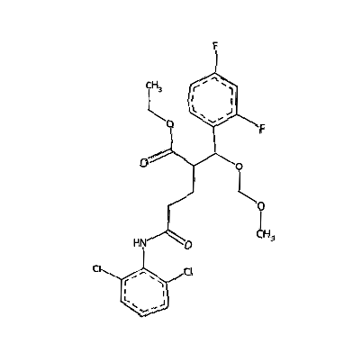 CCOC(=O)C(CCC(=O)Nc1c(Cl)cccc1Cl)C(OCOC)c1ccc(F)cc1F